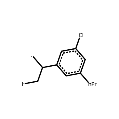 [CH2]C(CF)c1cc(Cl)cc(CCC)c1